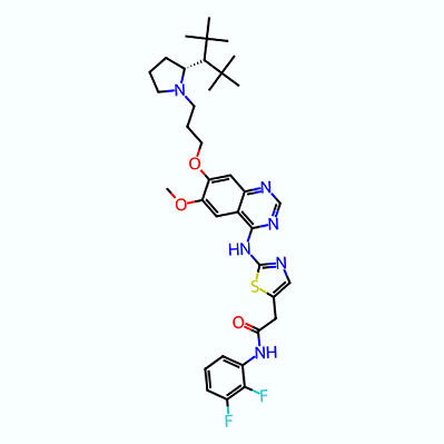 COc1cc2c(Nc3ncc(CC(=O)Nc4cccc(F)c4F)s3)ncnc2cc1OCCCN1CCC[C@@H]1C(C(C)(C)C)C(C)(C)C